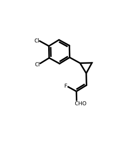 O=CC(F)=CC1CC1c1ccc(Cl)c(Cl)c1